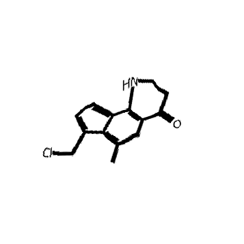 CC1=C2C(CCl)=CC=C2C2=C(C1)C(=O)CCN2